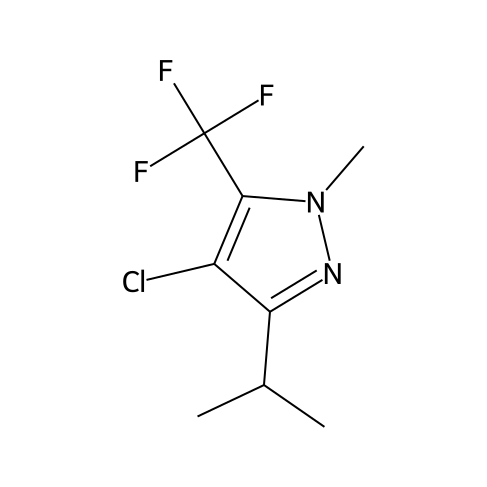 CC(C)c1nn(C)c(C(F)(F)F)c1Cl